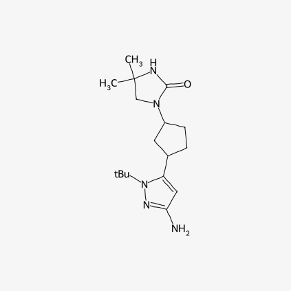 CC1(C)CN(C2CCC(c3cc(N)nn3C(C)(C)C)C2)C(=O)N1